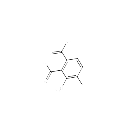 CCC(=N)c1c(C(N)=S)ccc(C)c1[N+](=O)[O-]